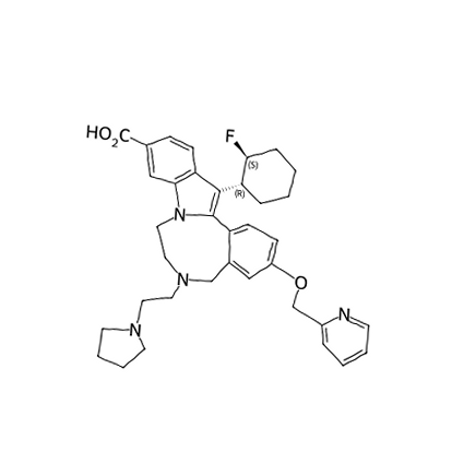 O=C(O)c1ccc2c([C@H]3CCCC[C@@H]3F)c3n(c2c1)CCN(CCN1CCCC1)Cc1cc(OCc2ccccn2)ccc1-3